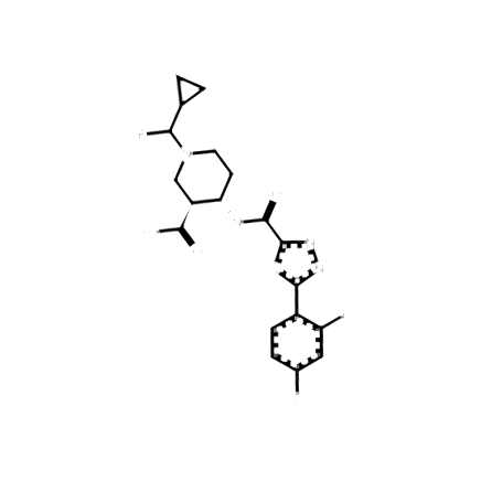 O=C(N[C@H]1CCN(C(F)C2CC2)C[C@@H]1C(=O)O)c1nnc(-c2ccc(F)cc2F)s1